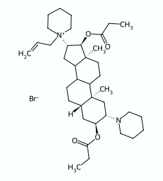 C=CC[N+]1([C@H]2CC3C4CC[C@H]5C[C@H](OC(=O)CC)[C@@H](N6CCCCC6)C[C@]5(C)C4CC[C@]3(C)[C@@H]2OC(=O)CC)CCCCC1.[Br-]